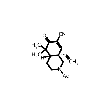 C=C[C@@]12C=C(C#N)C(=O)C(C)(C)[C@H]1CCN(C(C)=O)C2